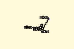 CCCCCCCC/C=C\CCCCCCC(CC(CCCCCCCC)CCCCCCCCCC)C(=O)OCCCCCCCCCCCCCCCC